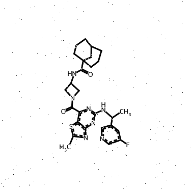 Cc1nc2nc(NC(C)c3cncc(F)c3)nc(C(=O)N3CC(NC(=O)C45CCCC(CCC4)C5)C3)c2s1